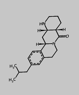 CC(C)Cc1ccc2c(c1)CCN1C(=O)[C@H]3CCCN[C@H]3C[C@@H]21